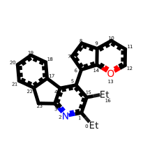 CCc1nc2c(c(-c3ccc4cccoc3-4)c1CC)-c1ccccc1C2